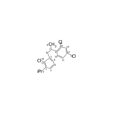 CC(C)c1cccc(CC(C)c2ccc(Cl)cc2Cl)c1Cl